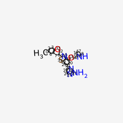 Cc1ccc2c(c1)CC(c1nc3c(OCC4CCCN4)cc(-c4ccnc(N)n4)cc3s1)CO2